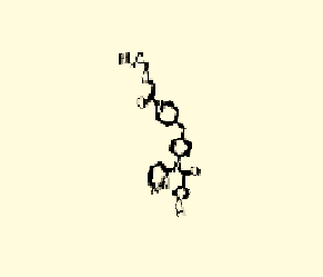 CCOCC(=O)N1CCC(Cc2ccc(N(C(=O)C3CNC3)c3cccnn3)cc2)CC1